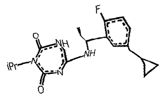 CC(C)n1c(=O)nc(N[C@@H](C)c2cc(C3CC3)ccc2F)[nH]c1=O